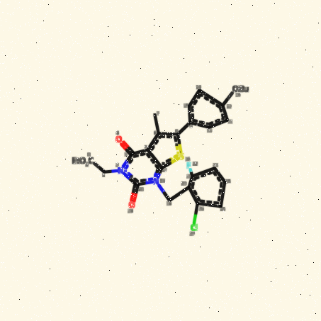 CCOC(=O)Cn1c(=O)c2c(C)c(-c3ccc(OCC(C)C)cc3)sc2n(Cc2c(F)cccc2Cl)c1=O